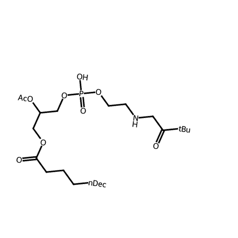 CCCCCCCCCCCCCC(=O)OCC(COP(=O)(O)OCCNCC(=O)C(C)(C)C)OC(C)=O